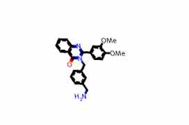 COc1ccc(-c2nc3ccccc3c(=O)n2Cc2cccc(CN)c2)cc1OC